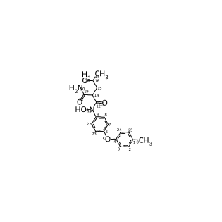 Cc1ccc(Oc2ccc(N(O)C(=O)C(CC(C)C)C(N)=O)cc2)cc1